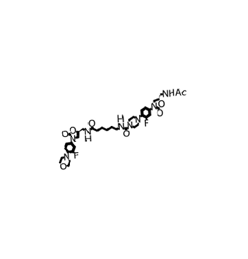 CC(=O)NC[C@H]1CN(c2ccc(N3CCN(C(=O)NCCCCCC(=O)NC[C@H]4CN(c5ccc(N6CCOCC6)c(F)c5)C(=O)O4)CC3)c(F)c2)C(=O)O1